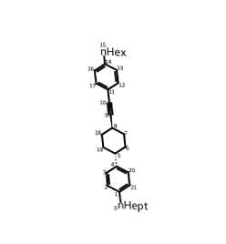 CCCCCCCc1ccc([C@H]2CC[C@H](C#Cc3ccc(CCCCCC)cc3)CC2)cc1